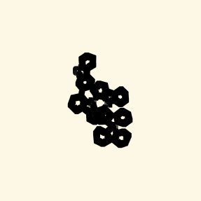 c1ccc([Si](c2ccccc2)(c2ccccc2)c2cccc(-n3c4ccccc4c4cccc(-n5c6ccccc6c6cccc(-c7ccc8c(c7)oc7ccccc78)c65)c43)c2)cc1